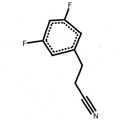 N#CCCc1cc(F)cc(F)c1